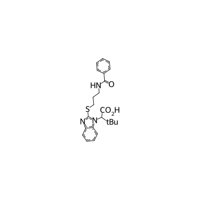 CC(C)(C)C(C(=O)O)n1c(SCCCNC(=O)c2ccccc2)nc2ccccc21